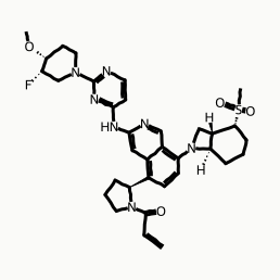 C=CC(=O)N1CCC[C@H]1c1ccc(N2C[C@H]3[C@H]2CCC[C@H]3S(C)(=O)=O)c2cnc(Nc3ccnc(N4CC[C@@H](OC)[C@@H](F)C4)n3)cc12